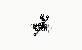 CC1=C(C(=O)OCC=C(C/C=C/c2ccccc2)c2ccc(Cn3ccnc3)cc2)C(c2cccc([N+](=O)[O-])c2)C(C(=O)OCC=C(C/C=C/c2ccccc2)c2ccc(Cn3ccnc3)cc2)=C(C)N1